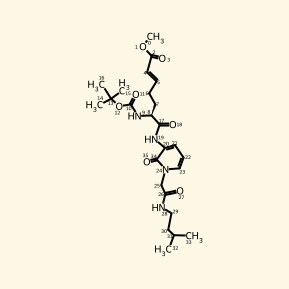 COC(=O)/C=C/CC[C@H](NC(=O)OC(C)(C)C)C(=O)Nc1cccn(CC(=O)NCCC(C)C)c1=O